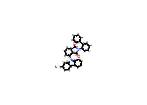 N#Cc1ccc2c3ccccc3n(-c3cccc4c3C(=O)N(c3ccccc3-c3ccccc3)C4=O)c2c1